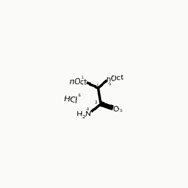 CCCCCCCCC(CCCCCCCC)C(N)=O.Cl